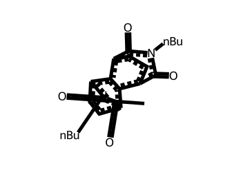 CCCCn1c(=O)c2ccc(c1=O)c1c3ccc(c(=O)n(CCCC)c3=O)c21